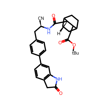 CC(C)(C)OC(=O)C1C2CCC(CC2)[C@H]1C(=O)N[C@H](C#N)Cc1ccc(-c2ccc3c(c2)NC(=O)C3)cc1